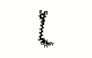 CC(C=CCCCCCCOCc1ccc(F)c(Cl)c1)=CC(=O)NCC(C)C